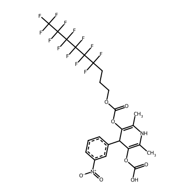 CC1=C(OC(=O)O)C(c2cccc([N+](=O)[O-])c2)C(OC(=O)OCCCC(F)(F)C(F)(F)C(F)(F)C(F)(F)C(F)(F)C(F)(F)F)=C(C)N1